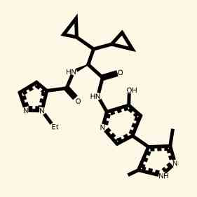 CCn1nccc1C(=O)N[C@H](C(=O)Nc1ncc(-c2c(C)n[nH]c2C)cc1O)C(C1CC1)C1CC1